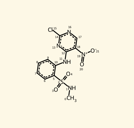 CNS(=O)(=O)c1ccccc1Nc1nc(Cl)ncc1[N+](=O)[O-]